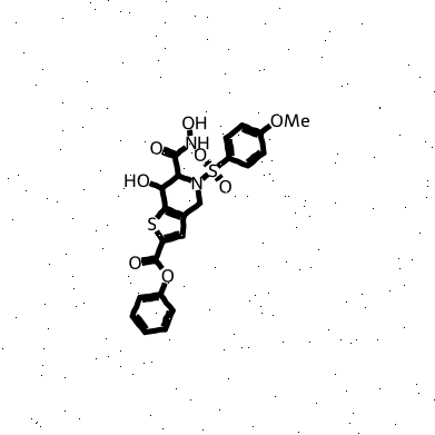 COc1ccc(S(=O)(=O)N2Cc3cc(C(=O)Oc4ccccc4)sc3C(O)C2C(=O)NO)cc1